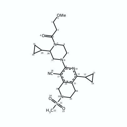 COCCC(=O)N1CCN(c2nc(C3CC3)c3c(c2C#N)CN(S(C)(=O)=O)CC3)CC1C1CC1